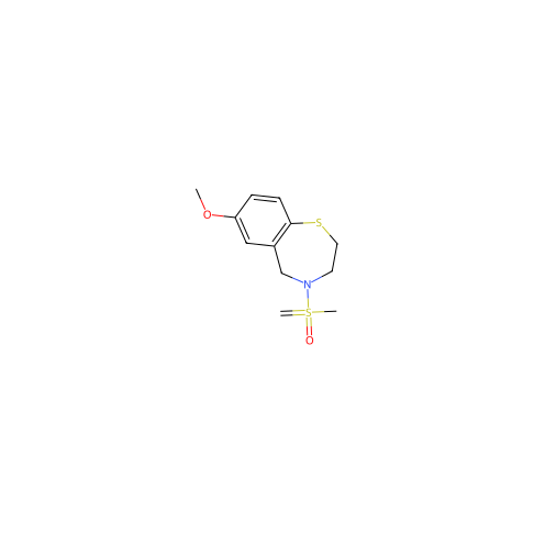 C=S(C)(=O)N1CCSc2ccc(OC)cc2C1